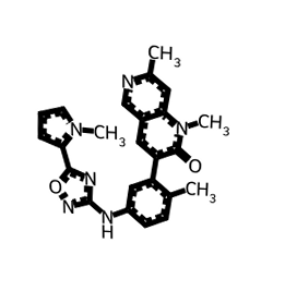 Cc1cc2c(cn1)cc(-c1cc(Nc3noc(-c4cccn4C)n3)ccc1C)c(=O)n2C